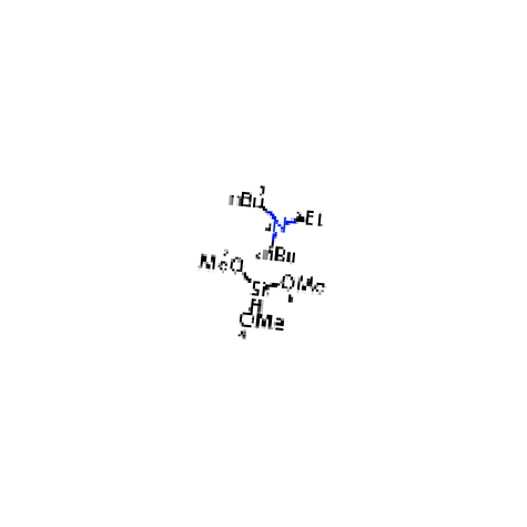 CCCCN(CC)CCCC.CO[SiH](OC)OC